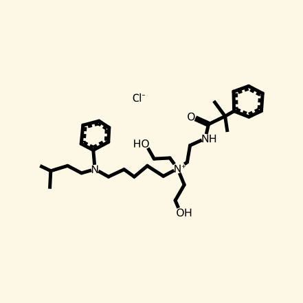 CC(C)CCN(CCCCC[N+](CCO)(CCO)CCNC(=O)C(C)(C)c1ccccc1)c1ccccc1.[Cl-]